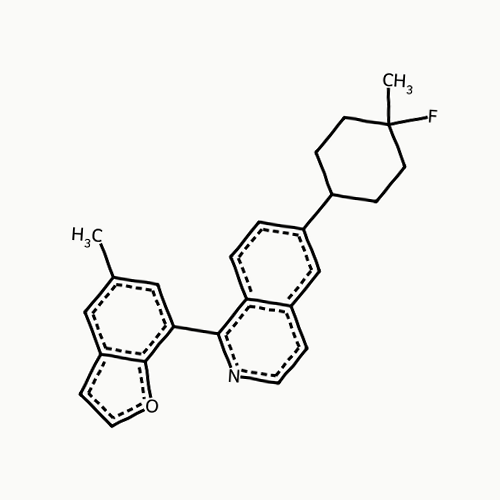 Cc1cc(-c2nccc3cc(C4CCC(C)(F)CC4)ccc23)c2occc2c1